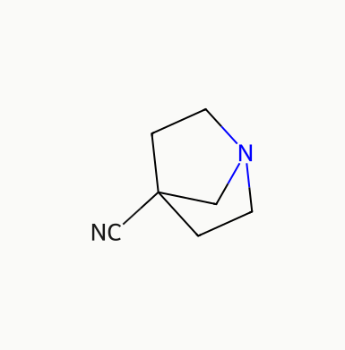 N#CC12CCN(CC1)C2